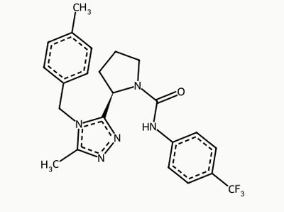 Cc1ccc(Cn2c(C)nnc2[C@H]2CCCN2C(=O)Nc2ccc(C(F)(F)F)cc2)cc1